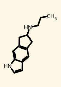 CCCNC1Cc2cc3cc[nH]c3cc2C1